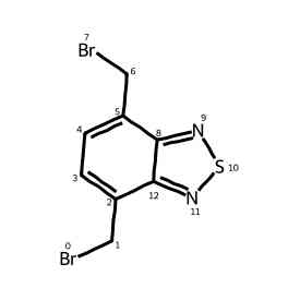 BrCc1ccc(CBr)c2nsnc12